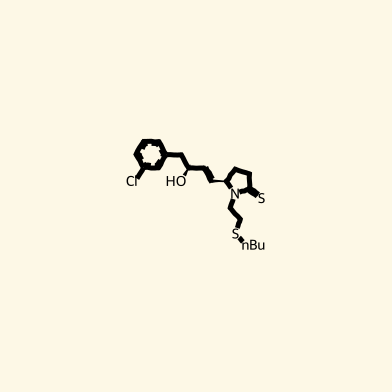 CCCCSCCN1C(=S)CC[C@@H]1/C=C/[C@@H](O)Cc1cccc(Cl)c1